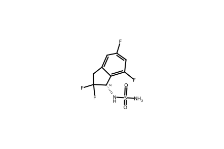 NS(=O)(=O)N[C@H]1c2c(F)cc(F)cc2CC1(F)F